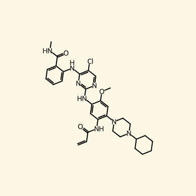 C=CC(=O)Nc1cc(Nc2ncc(Cl)c(Nc3ccccc3C(=O)NC)n2)c(OC)cc1N1CCN(C2CCCCC2)CC1